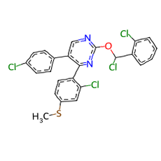 CSc1ccc(-c2nc(OC(Cl)c3ccccc3Cl)ncc2-c2ccc(Cl)cc2)c(Cl)c1